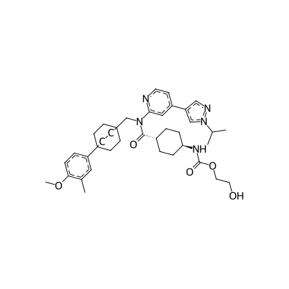 COc1ccc(C23CCC(CN(c4cc(-c5cnn(C(C)C)c5)ccn4)C(=O)[C@H]4CC[C@H](NC(=O)OCCO)CC4)(CC2)CC3)cc1C